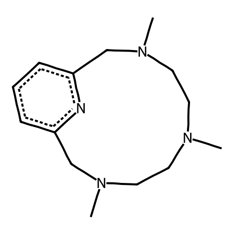 CN1CCN(C)Cc2cccc(n2)CN(C)CC1